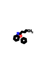 CC=CCc1nc2ccccc2o1.c1ccccc1